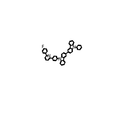 Fc1ccc(-c2cccc(-c3ccc(-n4c5ccccc5c5cc(-c6ccc7c(c6)c6ccccc6n7-c6ccccc6)ccc54)cc3)n2)cc1